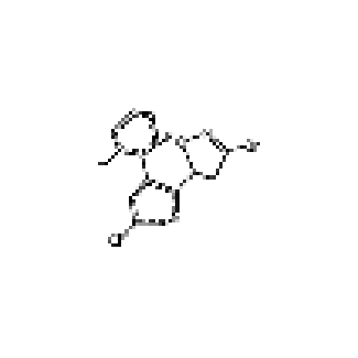 Fc1cccc(F)c1-c1cc(Cl)cnc1C1CC(Br)=NO1